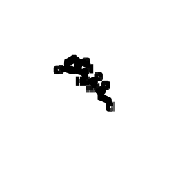 O=C(CCCl)NC(=O)Nc1noc2ccc(Cl)cc12